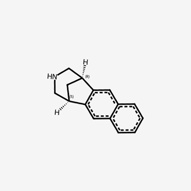 c1ccc2cc3c(cc2c1)[C@@H]1CNC[C@H]3C1